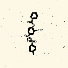 CCCCCCc1cc(S(C)(=O)=NS(=O)(=O)c2ccc(C)cc2)ccc1OC(=O)c1ccccc1